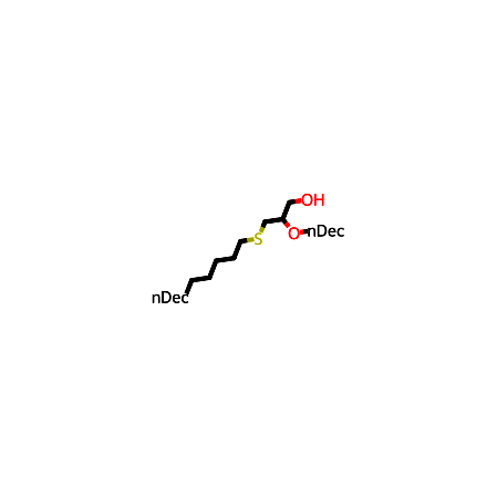 CCCCCCCCCCCCCCCSCC(CO)OCCCCCCCCCC